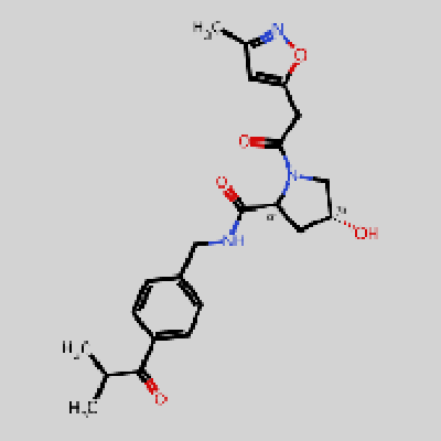 Cc1cc(CC(=O)N2C[C@H](O)C[C@H]2C(=O)NCc2ccc(C(=O)C(C)C)cc2)on1